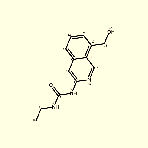 CCNC(=O)Nc1cc2cccc(CO)c2cn1